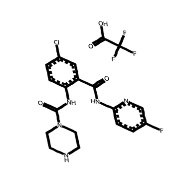 O=C(Nc1ccc(F)cn1)c1cc(Cl)ccc1NC(=O)N1CCNCC1.O=C(O)C(F)(F)F